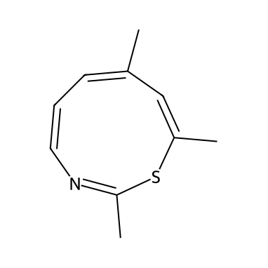 Cc1cccnc(C)sc(C)c1